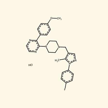 COc1ccc(-c2nccnc2N2CCN(Cc3cnn(-c4ccc(F)cc4)c3C)CC2)cc1.Cl